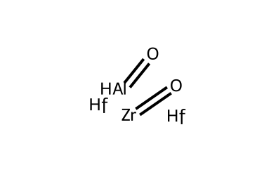 [Hf].[Hf].[O]=[AlH].[O]=[Zr]